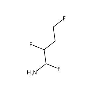 NC(F)C(F)CCF